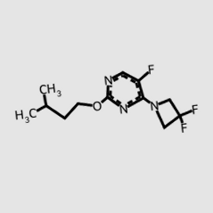 CC(C)CCOc1ncc(F)c(N2CC(F)(F)C2)n1